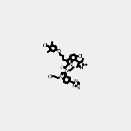 Cc1cc(OCCCc2c3n(c4c(-c5c(C)nn(C)c5C)c(Cl)ccc24)[C@H](C)CN(c2cn(CCCl)c4ccc(-c5ncn(C)n5)cc24)C3=O)cc(C)c1Cl